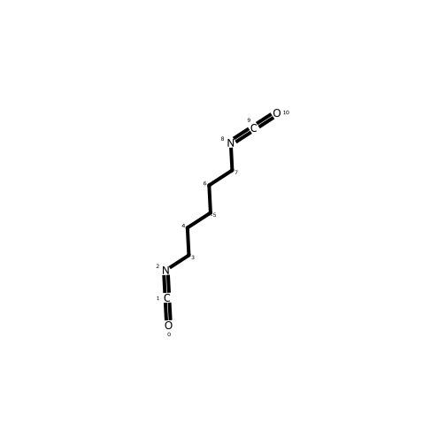 O=C=NCC[C]CCN=C=O